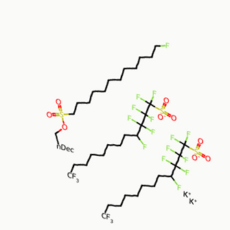 CCCCCCCCCCCOS(=O)(=O)CCCCCCCCCCCCF.O=S(=O)([O-])C(F)(F)C(F)(F)C(F)(F)C(F)CCCCCCCC(F)(F)F.O=S(=O)([O-])C(F)(F)C(F)(F)C(F)(F)C(F)CCCCCCCC(F)(F)F.[K+].[K+]